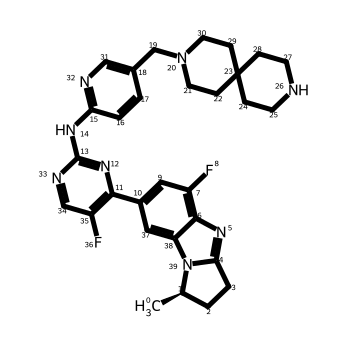 C[C@@H]1CCc2nc3c(F)cc(-c4nc(Nc5ccc(CN6CCC7(CCNCC7)CC6)cn5)ncc4F)cc3n21